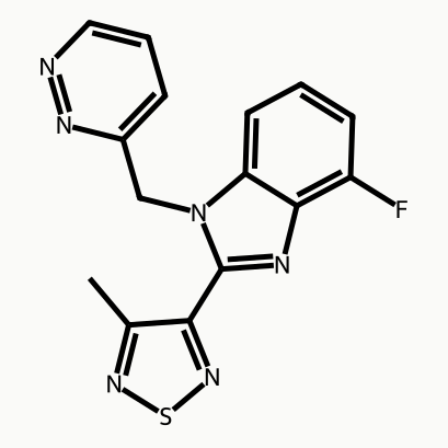 Cc1nsnc1-c1nc2c(F)cccc2n1Cc1cccnn1